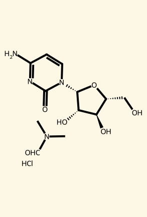 CN(C)C=O.Cl.Nc1ccn([C@@H]2O[C@H](CO)[C@@H](O)[C@@H]2O)c(=O)n1